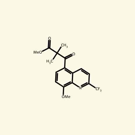 COC(=O)C(C)(C)C(=O)c1ccc(OC)c2nc(C(F)(F)F)ccc12